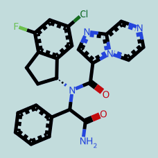 NC(=O)C(c1ccccc1)N(C(=O)c1cnc2cnccn12)[C@@H]1CCc2c(F)cc(Cl)cc21